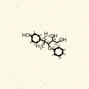 CC(C)(c1ccc(O)cc1)C(Oc1ccccc1)C(O)CO